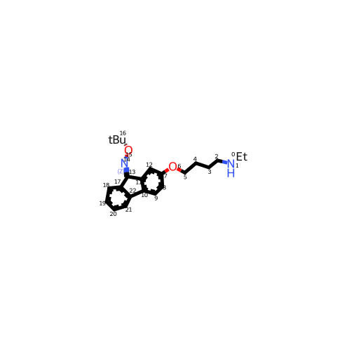 CCNCCCCOc1ccc2c(c1)/C(=N\OC(C)(C)C)c1ccccc1-2